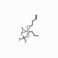 C=CCCO[Si](CCC)(OC)OC(F)(F)F